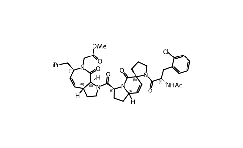 COC(=O)CN1C(=O)[C@@H]2[C@@H](C=C[C@H]1CC(C)C)CCN2C(=O)[C@@H]1CC[C@H]2C=C[C@]3(CCCN3C(=O)[C@H](Cc3ccccc3Cl)NC(C)=O)C(=O)N21